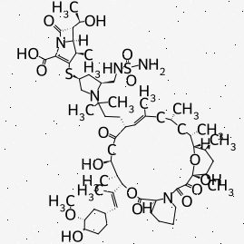 CO[C@@H]1C[C@H](/C=C(\C)[C@H]2OC(=O)[C@@H]3CCCCN3C(=O)C(=O)[C@]3(O)O[C@H]([C@@H](C)C[C@@H](C)C/C(C)=C/[C@@H](CCC(C)(C)N4C[C@@H](SC5=C(C(=O)O)N6C(=O)[C@H]([C@@H](C)O)[C@H]6[C@H]5C)C[C@H]4CNS(N)(=O)=O)C(=O)C[C@H](O)[C@H]2C)[C@@H](C)C[C@H]3C)CC[C@H]1O